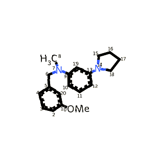 COc1cccc(CN(C)c2cccc(N3CCCC3)c2)c1